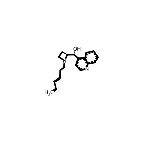 C=C/C=C/CCN1CC[C@H]1[C@H](O)c1ccnc2ccccc12